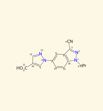 CCCn1nc(C#N)c2cc(-n3cc(C(=O)O)cn3)ccc21